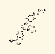 C[C@@H](NC(=O)c1ccc(C(=N)N)cc1)C(=O)c1ccc(OCC(=O)O)cc1.Cl